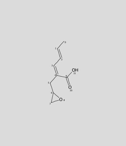 CC=CC=C(CC1CO1)C(=O)O